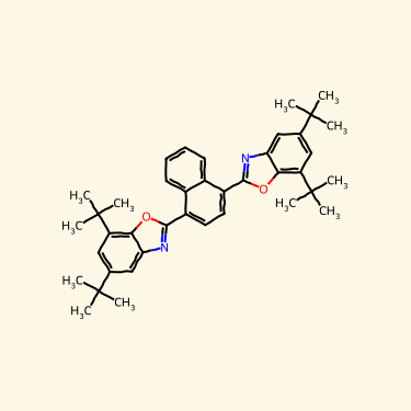 CC(C)(C)c1cc(C(C)(C)C)c2oc(-c3ccc(-c4nc5cc(C(C)(C)C)cc(C(C)(C)C)c5o4)c4ccccc34)nc2c1